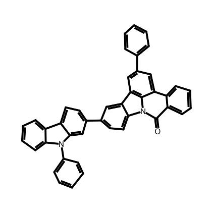 O=c1c2ccccc2c2cc(-c3ccccc3)cc3c4cc(-c5ccc6c7ccccc7n(-c7ccccc7)c6c5)ccc4n1c23